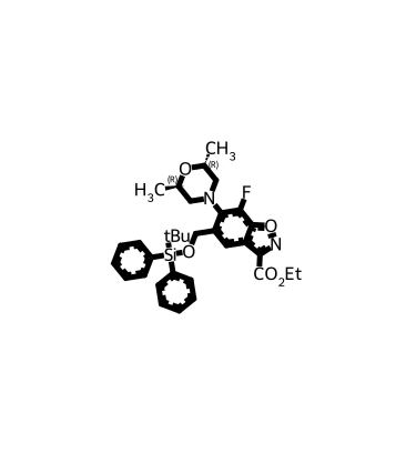 CCOC(=O)c1noc2c(F)c(N3C[C@@H](C)O[C@H](C)C3)c(CO[Si](c3ccccc3)(c3ccccc3)C(C)(C)C)cc12